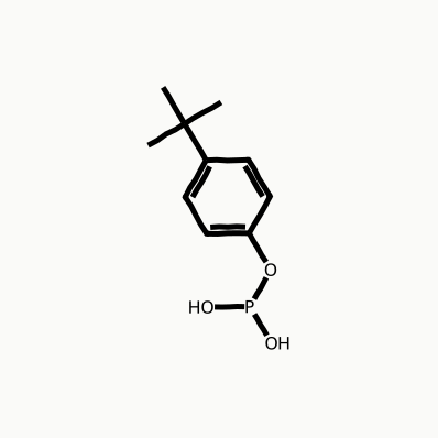 CC(C)(C)c1ccc(OP(O)O)cc1